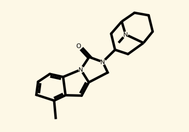 Cc1cccc2c1cc1n2C(=O)N(C2CC3CCCC(C2)N3C)C1